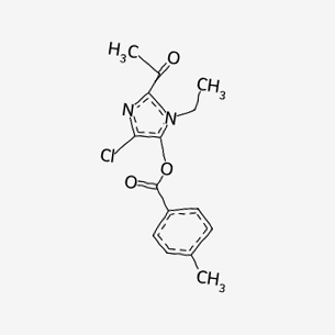 CCn1c(C(C)=O)nc(Cl)c1OC(=O)c1ccc(C)cc1